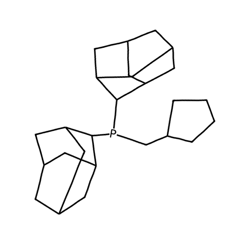 C1CCC(CP(C2C3CC4CC(C3)CC2C4)C2C3CC4CC(C3)CC2C4)C1